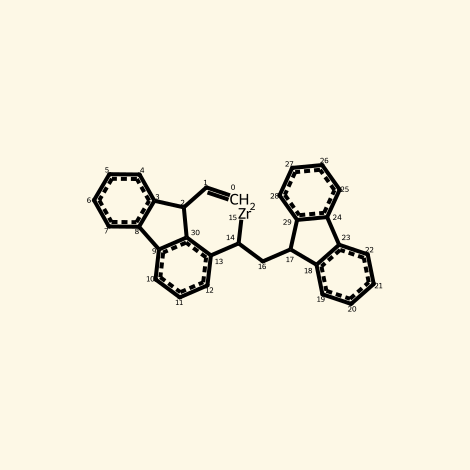 C=CC1c2ccccc2-c2cccc([CH]([Zr])CC3c4ccccc4-c4ccccc43)c21